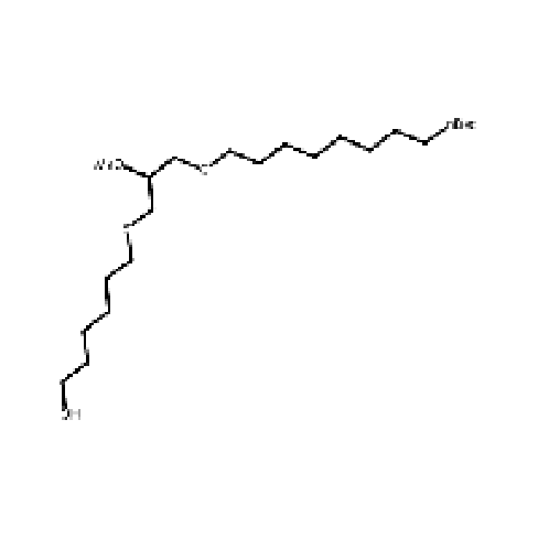 CCCCCCCCCCCCCCCCCCOCC(CSCCCCCCO)OC